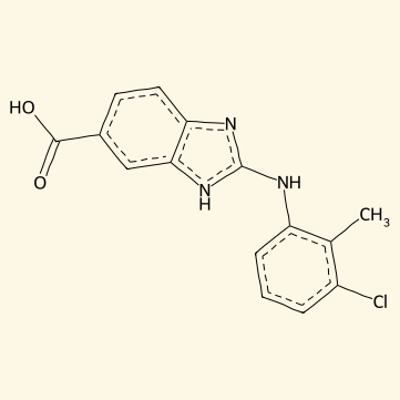 Cc1c(Cl)cccc1Nc1nc2ccc(C(=O)O)cc2[nH]1